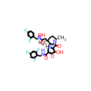 C[C@H]1CC[C@](C)(CC(=O)N(O)Cc2ccc(F)cc2F)[C@H]2CN1C(=O)c1c(O)c(=O)c(C(=O)NCc3c(F)cc(F)cc3F)cn12